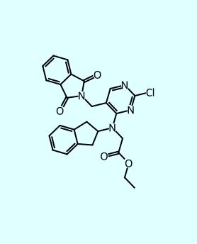 CCOC(=O)CN(c1nc(Cl)ncc1CN1C(=O)c2ccccc2C1=O)C1Cc2ccccc2C1